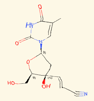 Cc1cn([C@H]2C[C@](O)(C=CC#N)[C@@H](CO)O2)c(=O)[nH]c1=O